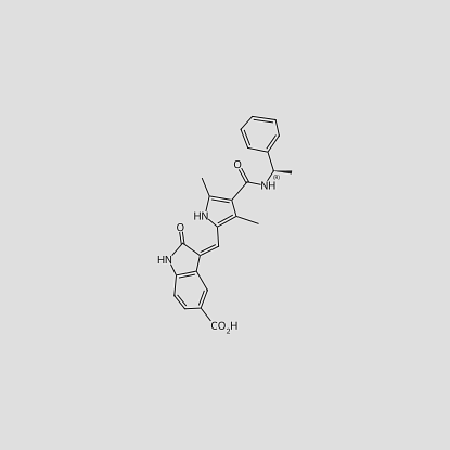 Cc1[nH]c(C=C2C(=O)Nc3ccc(C(=O)O)cc32)c(C)c1C(=O)N[C@H](C)c1ccccc1